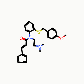 COc1ccc(CSc2ccccc2N(CCN(C)C)C(=O)C=Cc2ccccc2)cc1